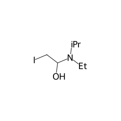 CCN(C(C)C)C(O)CI